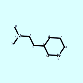 CN(C)CCC1[CH]CC[N]C1